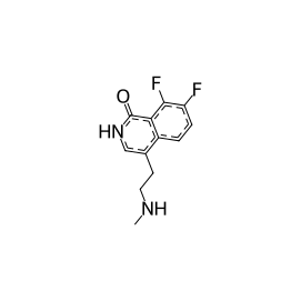 CNCCc1c[nH]c(=O)c2c(F)c(F)ccc12